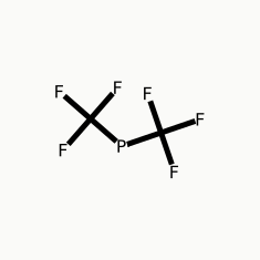 FC(F)(F)[P]C(F)(F)F